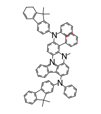 CN1c2c(ccc(N(c3ccccc3)c3ccc4c(c3)C(C)(C)C3=C4C=CCC3)c2-c2ccccc2)-n2c3ccccc3c3c(N(c4ccccc4)c4ccc5c(c4)C(C)(C)c4ccccc4-5)ccc1c32